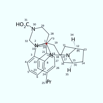 Cc1nc2ccccc2n1C1C[C@H]2CC[C@@H](C1)N2CCC1(c2ccc(C(C)C)cc2)CCN(C(=O)O)CC1